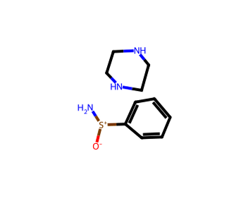 C1CNCCN1.N[S+]([O-])c1ccccc1